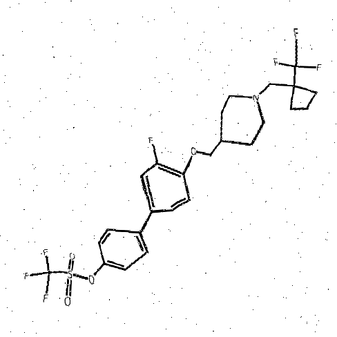 O=S(=O)(Oc1ccc(-c2ccc(OCC3CCN(CC4(C(F)(F)F)CCC4)CC3)c(F)c2)cc1)C(F)(F)F